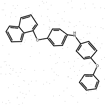 c1ccc(Oc2ccc(Nc3ccc(Oc4cccc5ccccc45)cc3)cc2)cc1